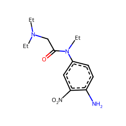 CCN(CC)CC(=O)N(CC)c1ccc(N)c([N+](=O)[O-])c1